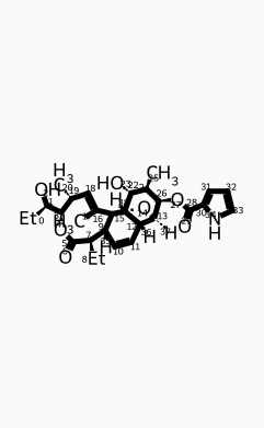 CC[C@@H](O)[C@H]1OC(=O)[C@H](CC)[C@H]2C=C[C@H]3[C@H]4O[C@]2(/C(C)=C/[C@H]1C)[C@@H]3[C@H](O)[C@@H](C)[C@H]4OC(=O)c1ccc[nH]1